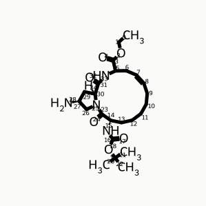 CCOC(=O)C1C/C=C\CCCCC[C@H](NC(=O)OC(C)(C)C)C(=O)N2C[C@@H](N)C[C@H]2C(=O)N1